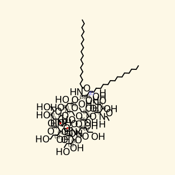 CCCCCCCCCCCCC/C=C/[C@@H](O)[C@H](CO[C@@H]1OC(CO)[C@@H](O[C@@H]2OC(CO)[C@H](O)[C@H](O[C@@H]3OC(CO)[C@@H](O)[C@H](O[C@@H]4OC(CO)[C@H](O)[C@H](O[C@@H]5OC(CO)[C@@H](O)[C@H](O[C@@H]6OC(CO)[C@H](O)[C@H](O[C@H]7OC(CO)[C@H](O)[C@H](O)C7NC(C)=O)C6O)C5NC(C)=O)C4O)C3NC(C)=O)C2O)[C@H](O)C1O)NC(=O)CCCCCCCCCCCCCCCCC